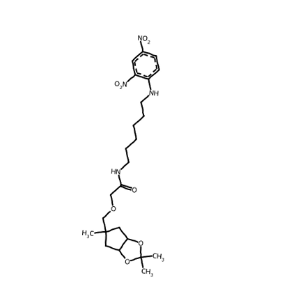 CC1(COCC(=O)NCCCCCCNc2ccc([N+](=O)[O-])cc2[N+](=O)[O-])CC2OC(C)(C)OC2C1